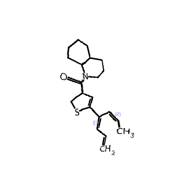 C=C/C=C(\C=C/C)C1=CC(C(=O)N2CCCC3CCCCC32)CS1